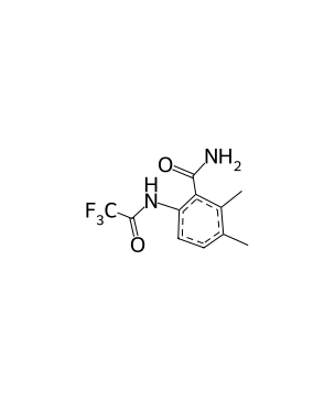 Cc1ccc(NC(=O)C(F)(F)F)c(C(N)=O)c1C